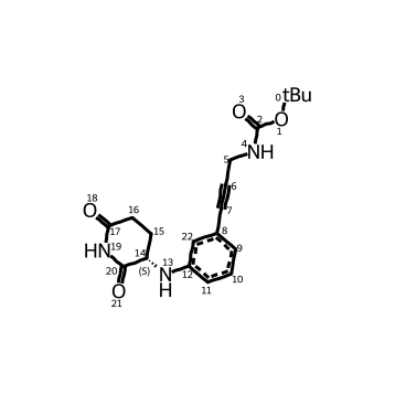 CC(C)(C)OC(=O)NCC#Cc1cccc(N[C@H]2CCC(=O)NC2=O)c1